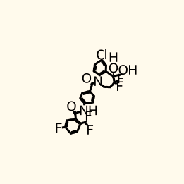 O=C(Nc1ccc(C(=O)N2CCC(F)(F)[C@](O)(CO)c3cc(Cl)ccc32)cc1)c1cc(F)ccc1C(F)F